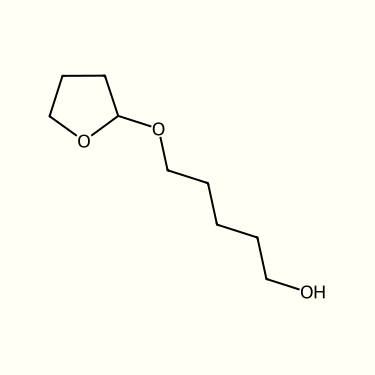 OCCCCCOC1CCCO1